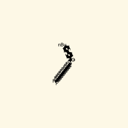 CCCC[C@H]1CC[C@H]([C@H]2CC[C@H](C(=O)OCC(F)(F)C(F)(F)C(F)(F)C(F)(F)C(F)(F)C(F)(F)C(F)(F)C(F)(F)C(F)(F)C(F)F)CC2)CC1